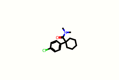 CN(C)C(=O)C1(c2ccc(Cl)cc2)CCCCC1